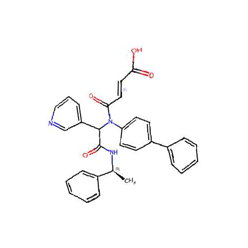 C[C@H](NC(=O)C(c1cccnc1)N(C(=O)/C=C/C(=O)O)c1ccc(-c2ccccc2)cc1)c1ccccc1